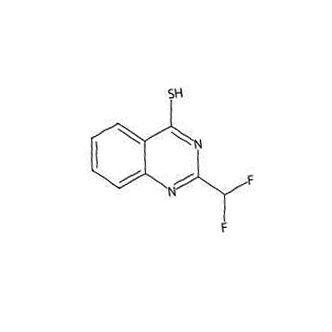 FC(F)c1nc(S)c2ccccc2n1